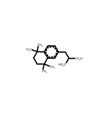 CC1(C)CCC(C)(C)c2cc(CC(C(=O)O)C(=O)O)ccc21